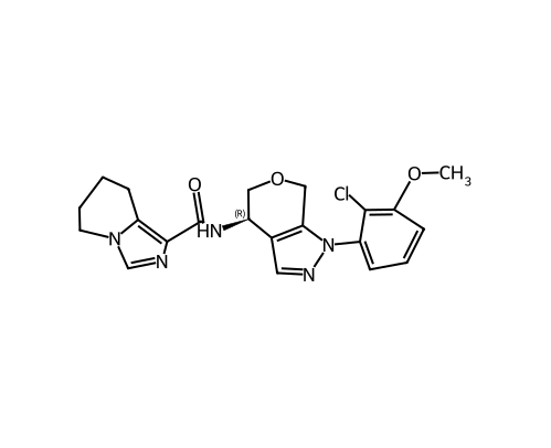 COc1cccc(-n2ncc3c2COC[C@@H]3NC(=O)c2ncn3c2CCCC3)c1Cl